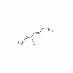 NC/C=C/S(=O)ON